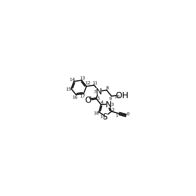 C#Cc1nc(C(=O)N(CCO)Cc2ccccc2)cs1